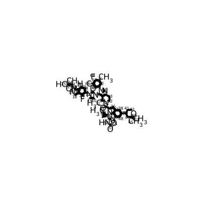 Cc1cc(-n2nc3c(c2-n2ccn(-c4ccc5c(cnn5CC(C)(C)O)c4F)c2=O)[C@H](C)N(C(=O)c2cc4cc([C@H]5CCOC(C)(C)C5)ccc4n2[C@@]2(c4noc(=O)[nH]4)C[C@@H]2C)CC3)cc(C)c1F